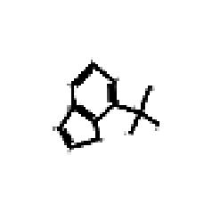 CC(C)(C)c1cccc2c1CC=C2